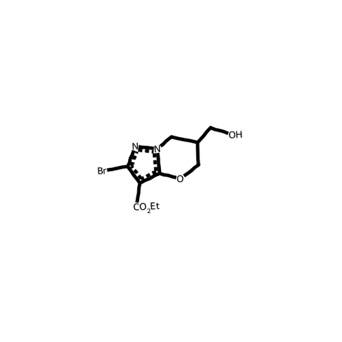 CCOC(=O)c1c(Br)nn2c1OCC(CO)C2